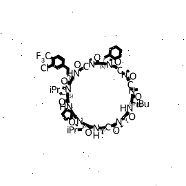 CC[C@H](C)[C@@H]1NC(=O)[C@H](C)N(C)C(=O)C[C@@H](C)NC(=O)[C@H](CC(C)C)N(C)C(=O)C2(CCCC2)NC(=O)[C@H](CC(C)C)N(C)C(=O)[C@H](CCc2ccc(C(F)(F)F)c(Cl)c2)NC(=O)CN(C)C(=O)[C@H](CC2CCCCC2)N(C)C(=O)CN(C)C(=O)CN(C)C1=O